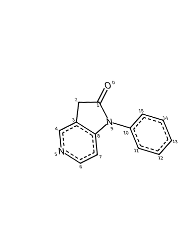 O=C1Cc2cnccc2N1c1ccccc1